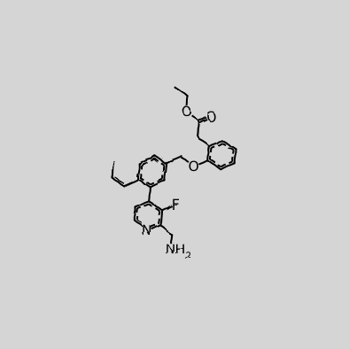 C/C=C\c1ccc(COc2ccccc2CC(=O)OCC)cc1-c1ccnc(CN)c1F